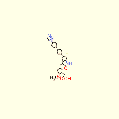 COc1ccc(C=C2C(=O)Nc3cc(F)c(-c4ccc(-c5ccc(-n6ccnn6)cc5)cc4)cc32)cc1CC(=O)O